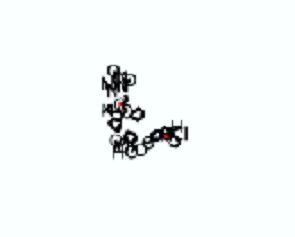 CC(=O)Oc1ccccc1C(=O)O.CCC(=O)O[C@](Cc1ccccc1)(c1ccccc1)[C@H](C)CN(C)C.COc1ccc2c(c1)[C@]13CCCC[C@@H]1[C@H](C2)N(C)CC3.Cl.Cn1c(=O)c2c(ncn2C)n(C)c1=O